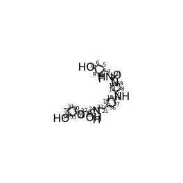 O=C(NCc1ccc(O)cc1F)N1CCC(Nc2ccc(CCNCC(O)COc3cccc(O)c3)cc2)CC1